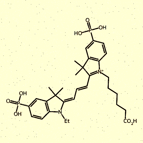 CCN1/C(=C/C=C/C2=[N+](CCCCCC(=O)O)c3ccc(P(=O)(O)O)cc3C2(C)C)C(C)(C)c2cc(P(=O)(O)O)ccc21